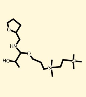 CC(O)C(NCC1CCCO1)OCCC[Si](C)(C)CC[Si](C)(C)C